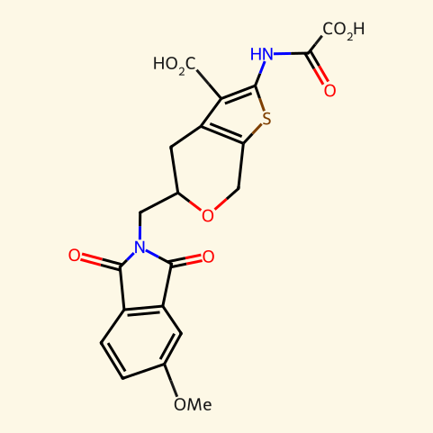 COc1ccc2c(c1)C(=O)N(CC1Cc3c(sc(NC(=O)C(=O)O)c3C(=O)O)CO1)C2=O